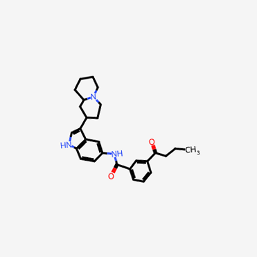 CCCC(=O)c1cccc(C(=O)Nc2ccc3[nH]cc(C4CCN5CCCCC5C4)c3c2)c1